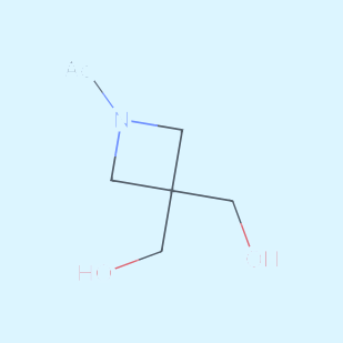 CC(=O)N1CC(CO)(CO)C1